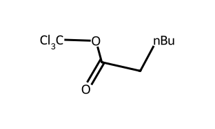 CCCCCC(=O)OC(Cl)(Cl)Cl